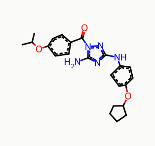 CC(C)Oc1ccc(C(=O)n2nc(Nc3ccc(OC4CCCC4)cc3)nc2N)cc1